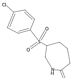 O=C1CCCC(S(=O)(=O)c2ccc(Cl)cc2)CN1